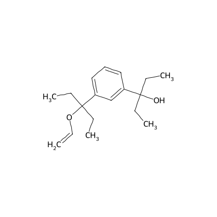 C=COC(CC)(CC)c1cccc(C(O)(CC)CC)c1